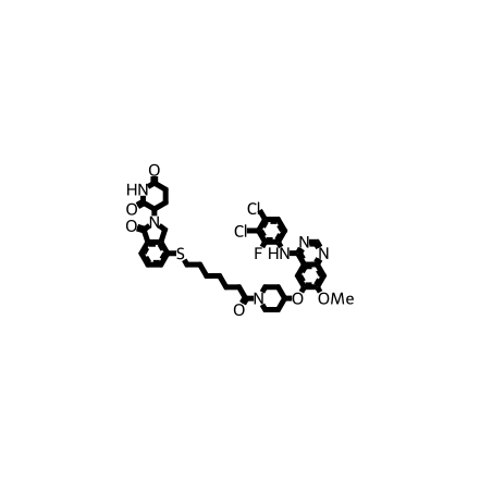 COc1cc2ncnc(Nc3ccc(Cl)c(Cl)c3F)c2cc1OC1CCN(C(=O)CCCCCCSc2cccc3c2CN(C2CCC(=O)NC2=O)C3=O)CC1